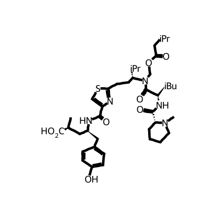 CC[C@H](C)[C@H](NC(=O)[C@H]1CCCCN1C)C(=O)N(COC(=O)CC(C)C)[C@H](CCc1nc(C(=O)N[C@@H](Cc2ccc(O)cc2)C[C@H](C)C(=O)O)cs1)C(C)C